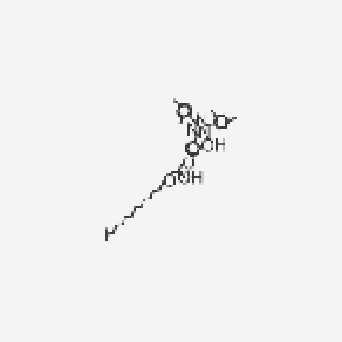 Cc1ccc(-c2nc(-c3ccc(C)cc3C)nc(-c3ccc(OCC(O)COCCCCCCCCCCCCI)cc3O)n2)c(C)c1